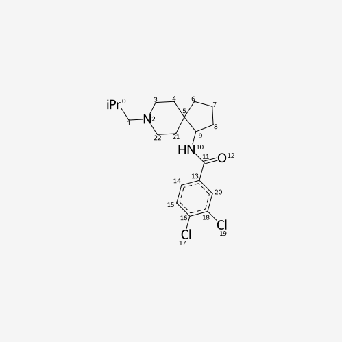 CC(C)CN1CCC2(CCCC2NC(=O)c2ccc(Cl)c(Cl)c2)CC1